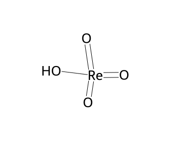 [O]=[Re](=[O])(=[O])[OH]